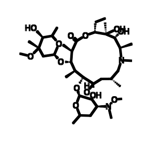 CC[C@H]1OC(=O)[C@H](C)[C@@H](O[C@H]2C[C@](C)(OC)[C@@H](O)C(C)O2)[C@H](C)[C@@H](O[C@@H]2OC(C)C[C@H](N(C)OC)C2O)[C@](C)(O)C[C@@H](C)CN(C)[C@H](C)[C@@H](O)[C@]1(C)O